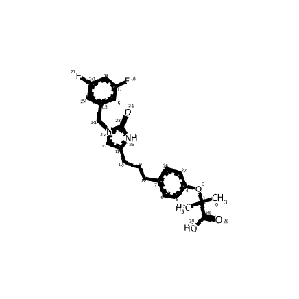 CC(C)(Oc1ccc(CCCc2cn(Cc3cc(F)cc(F)c3)c(=O)[nH]2)cc1)C(=O)O